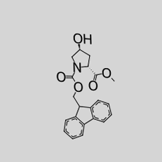 COC(=O)[C@H]1C[C@H](O)CN1C(=O)OCC1c2ccccc2-c2ccccc21